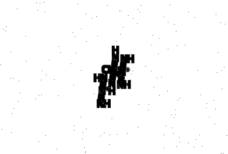 C.N=[N+]=N.N=[N+]=N.N=[N+]=N